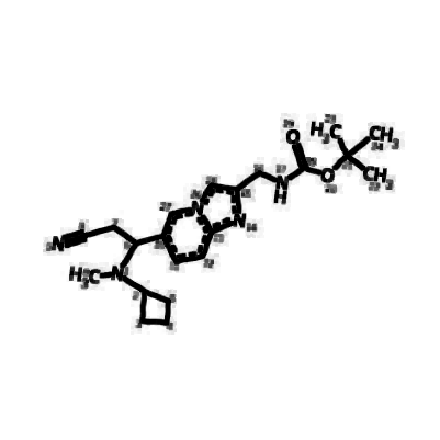 CN(C1CCC1)C(CC#N)c1ccc2nc(CNC(=O)OC(C)(C)C)cn2c1